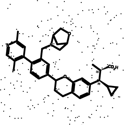 Cc1cc(-c2ccc(C3CCc4ccc([C@H](C5CC5)[C@H](C)C(=O)O)cc4O3)cc2CN2CC3CC2CO3)c(F)cn1